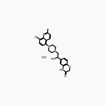 Cc1ccc2c(N3CCN(CC(O)c4ccc5c(c4)NC(=O)CO5)CC3)ccc(Cl)c2n1.Cl